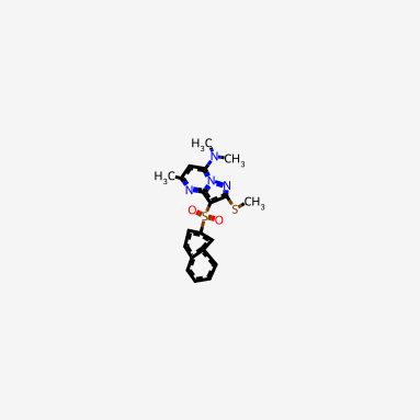 CSc1nn2c(N(C)C)cc(C)nc2c1S(=O)(=O)c1ccc2ccccc2c1